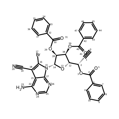 C#C[C@H](OC(=O)c1ccccc1)[C@@H]1O[C@H](n2c(Br)c(C#N)c3c(N)ncnc32)[C@@H](OC(=O)c2ccccc2)[C@H]1OC(=O)c1ccccc1